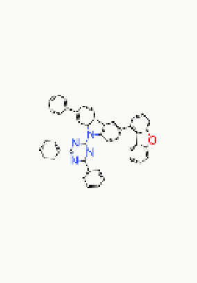 C1=CC2c3cc(-c4cccc5oc6ccccc6c45)ccc3N(c3nc(-c4ccccc4)nc(-c4ccccc4)n3)C2C=C1c1ccccc1